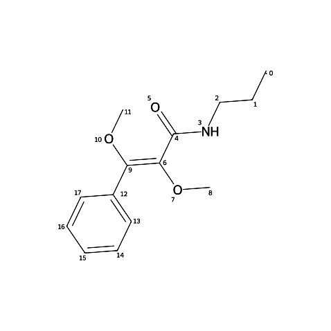 [CH2]CCNC(=O)C(OC)=C(OC)c1ccccc1